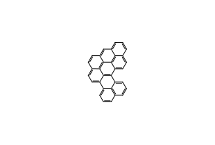 c1cc2ccc3c4c5cccc6cccc(c7ccc8ccc9cc(c1)c2c3c9c8c74)c65